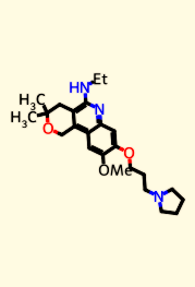 CCNc1nc2cc(OCCCN3CCCC3)c(OC)cc2c2c1CC(C)(C)OC2